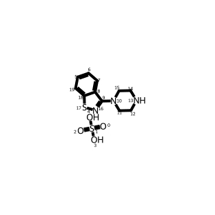 O=S(=O)(O)O.c1ccc2c(N3CCNCC3)nsc2c1